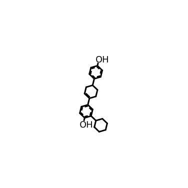 Oc1ccc(C2CC=C(c3ccc(O)c(C4CCCCC4)c3)CC2)cc1